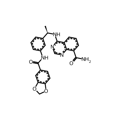 C[C@@H](Nc1ncnc2c(C(N)=O)cccc12)c1cccc(NC(=O)c2ccc3c(c2)OCO3)c1